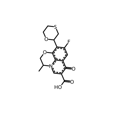 CC1COc2c(C3CSCCO3)c(F)cc3c(=O)c(C(=O)O)cn1c23